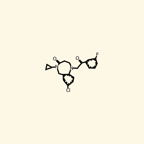 O=C(CN1CCC(=O)N(C2CC2)Cc2cc(Cl)ccc21)c1cccc(F)c1